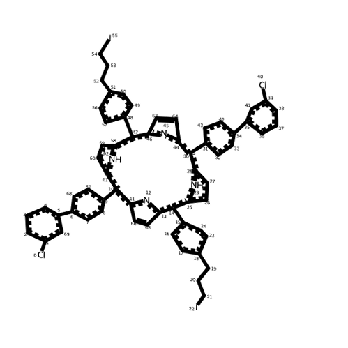 Clc1cccc(-c2ccc(-c3c4nc(c(-c5ccc(CCCI)cc5)c5ccc([nH]5)c(-c5ccc(-c6cccc(Cl)c6)cc5)c5nc(c(-c6ccc(CCCI)cc6)c6ccc3[nH]6)C=C5)C=C4)cc2)c1